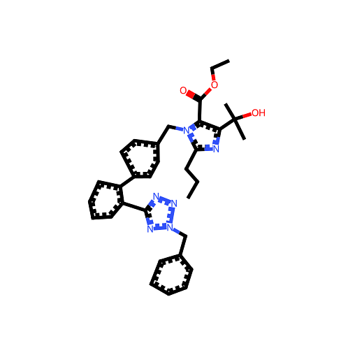 CCCc1nc(C(C)(C)O)c(C(=O)OCC)n1Cc1ccc(-c2ccccc2-c2nnn(Cc3ccccc3)n2)cc1